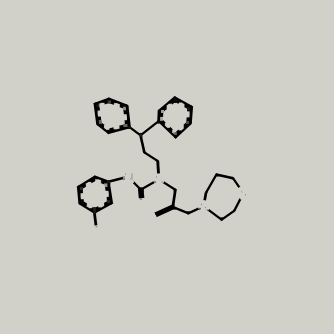 C=C(CN1CCCNCC1)CN(CCC(c1ccccc1)c1ccccc1)C(=O)Nc1cccc(Cl)c1